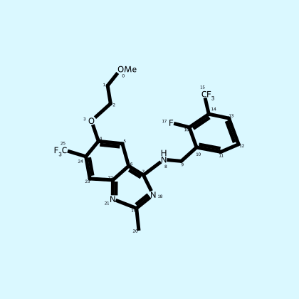 COCCOc1cc2c(NCc3cccc(C(F)(F)F)c3F)nc(C)nc2cc1C(F)(F)F